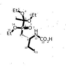 CCOC(C)(OCC)P(=O)(C[C@@H](CI)NC(=O)O)OCC